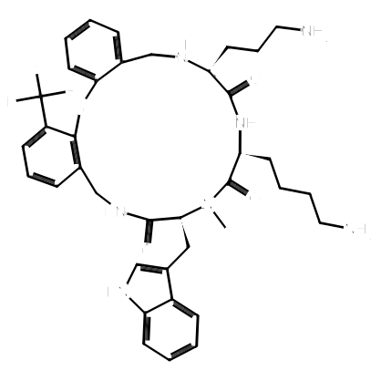 CN1C(=O)[C@H](CCCCN)NC(=O)[C@H](CCCN)NCc2ccccc2Sc2c(cccc2C(F)(F)F)CNC(=O)[C@@H]1Cc1c[nH]c2ccccc12